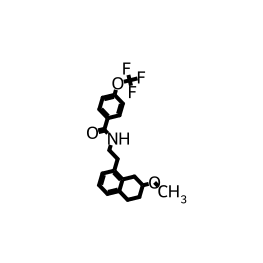 COC1CCc2cccc(CCNC(=O)c3ccc(OC(F)(F)F)cc3)c2C1